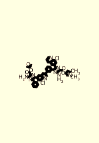 CC1CC(OC(=O)c2nc(-c3cc(Cl)c4ncccc4c3)c(-c3cccc(-c4cnc5c(Cl)cc(-c6nc(C(=O)OC7COC7)c(N)nc6-c6ccccc6)cc5c4)c3)nc2N)CN1C